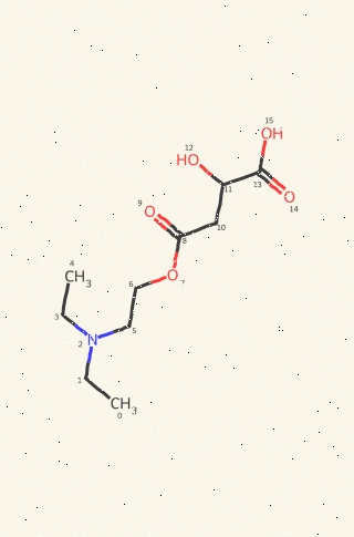 CCN(CC)CCOC(=O)CC(O)C(=O)O